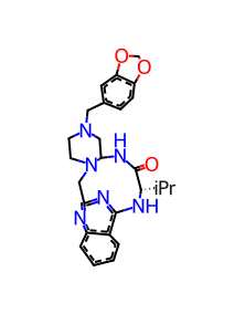 CC(C)[C@@H]1Nc2nc(nc3ccccc23)CN2CCN(Cc3ccc4c(c3)OCO4)CC2NC1=O